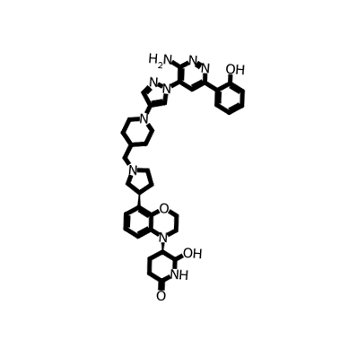 Nc1nnc(-c2ccccc2O)cc1-n1cc(N2CCC(CN3CC[C@@H](c4cccc5c4OCCN5[C@@H]4CCC(=O)NC4O)C3)CC2)cn1